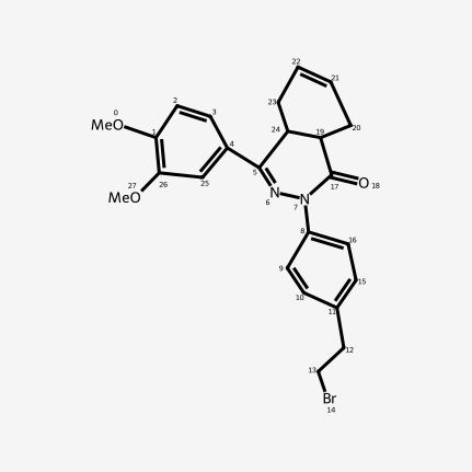 COc1ccc(C2=NN(c3ccc(CCBr)cc3)C(=O)C3CC=CCC23)cc1OC